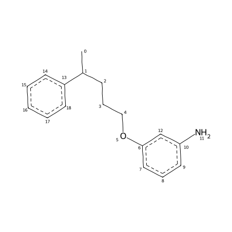 CC(CCCOc1cccc(N)c1)c1ccccc1